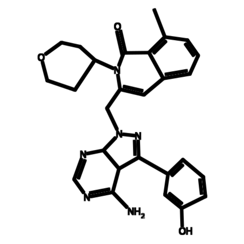 Cc1cccc2cc(CN3N=C(c4cccc(O)c4)C4C(N)=NC=NC43)n(C3CCOCC3)c(=O)c12